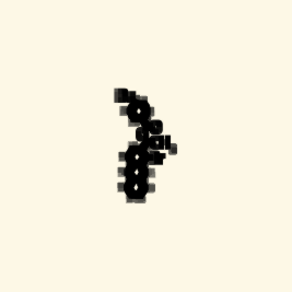 CCC(C)c1ccc(C(=O)OC(C)c2ccc3cc4ccccc4cc3c2Br)cc1